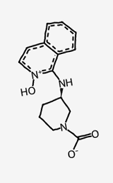 O=C([O-])N1CCC[C@@H](Nc2c3ccccc3cc[n+]2O)C1